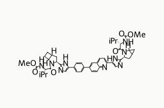 COC(=O)N[C@H](C(=O)N1[C@@H]2CC2C[C@H]1c1ncc(-c2ccc3cc(-c4ccc(-c5cnc([C@@H]6C[C@H]7CC[C@H]7N6C(=O)[C@@H](NC(=O)OC)C(C)C)[nH]5)cc4)ccc3n2)[nH]1)C(C)C